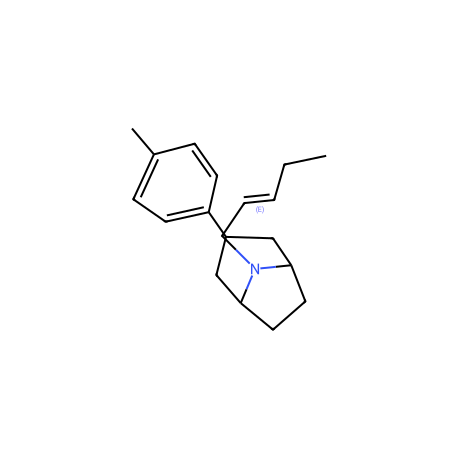 CC/C=C/CN1C2CCC1CC(c1ccc(C)cc1)C2